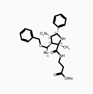 CC[C@H](C)C(OCc1ccccc1)[C@H]1[C@H]([N+](=O)[O-])[C@H](c2ccccc2)N[C@@]1(C)C(=O)NCCC(=O)OC